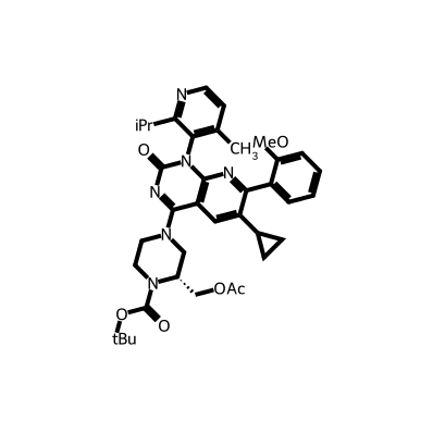 COc1ccccc1-c1nc2c(cc1C1CC1)c(N1CCN(C(=O)OC(C)(C)C)[C@@H](COC(C)=O)C1)nc(=O)n2-c1c(C)ccnc1C(C)C